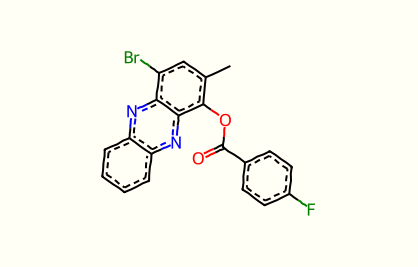 Cc1cc(Br)c2nc3ccccc3nc2c1OC(=O)c1ccc(F)cc1